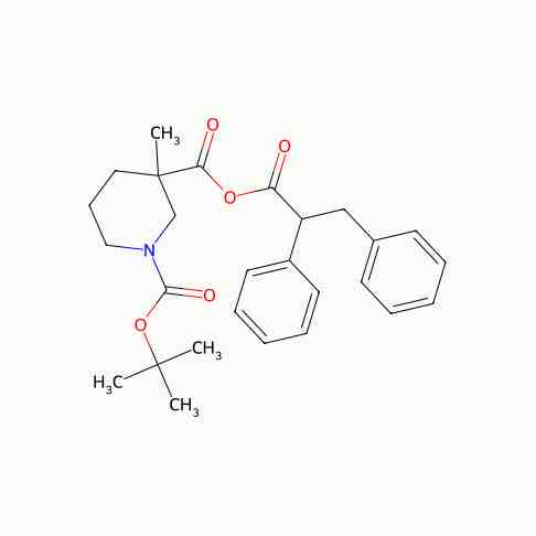 CC(C)(C)OC(=O)N1CCCC(C)(C(=O)OC(=O)C(Cc2ccccc2)c2ccccc2)C1